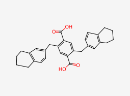 O=C(O)c1cc(Cc2ccc3c(c2)CCCC3)c(C(=O)O)cc1Cc1ccc2c(c1)CCCC2